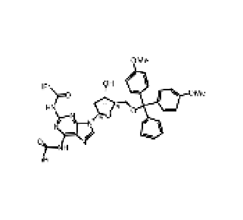 COc1ccc(C(OC[C@H]2O[C@@H](n3cnc4c(NC(=O)C(C)C)nc(NC(=O)C(C)C)nc43)C[C@@H]2O)(c2ccccc2)c2ccc(OC)cc2)cc1